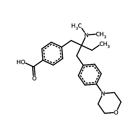 CCC(Cc1ccc(C(=O)O)cc1)(Cc1ccc(N2CCOCC2)cc1)N(C)C